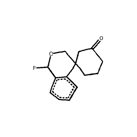 O=C1CCCC2(COC(F)c3ccccc32)C1